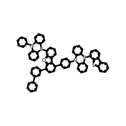 c1ccc(-c2cccc(-c3ccc(-c4ccc(N5c6ccccc6B(c6cccc7c6sc6ccccc67)c6ccccc65)cc4)c4c3oc3c(B5c6ccccc6N(c6ccccc6)c6ccccc65)cccc34)c2)cc1